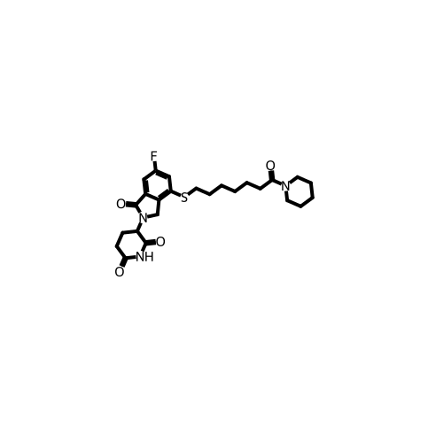 O=C1CCC(N2Cc3c(SCCCCCCC(=O)N4CCCCC4)cc(F)cc3C2=O)C(=O)N1